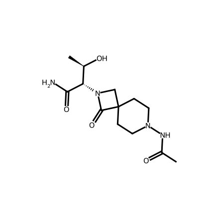 CC(=O)NN1CCC2(CC1)CN([C@H](C(N)=O)[C@@H](C)O)C2=O